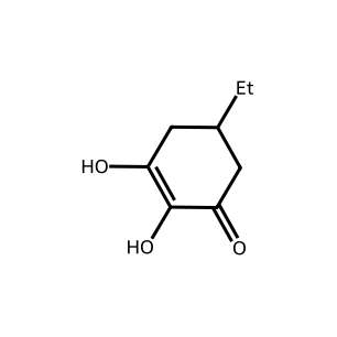 CCC1CC(=O)C(O)=C(O)C1